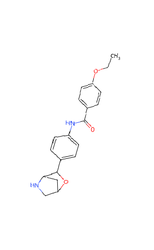 CCOc1ccc(C(=O)Nc2ccc(C3OC4CNC3C4)cc2)cc1